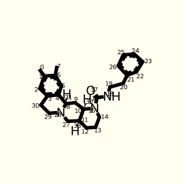 Cc1cc2c(cc1C)[C@H]1C[C@@H]3[C@@H](CCCN3C(=O)NCCc3ccccc3)CN1CC2